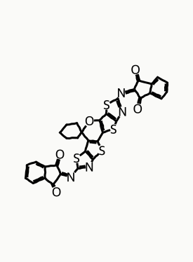 O=c1c(=Nc2nc3sc4c(c3s2)OC2(CCCCC2)c2c-4sc3nc(N=c4c(=O)c5ccccc5c4=O)sc23)c(=O)c2ccccc12